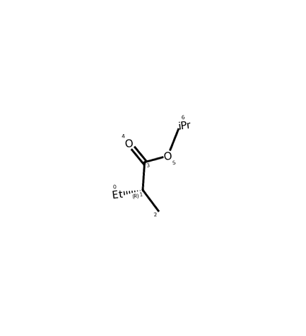 CC[C@@H](C)C(=O)OC(C)C